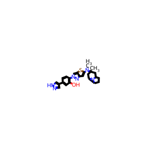 CN(c1cc2nn(-c3ccc(-c4cn[nH]c4)cc3O)cc2s1)C1(C)CC2CCC3C(C1)N23